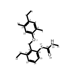 CCc1cc(C)c(OCc2c(CC)cccc2SC(=O)NC)cc1C